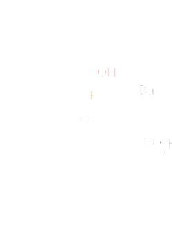 CC(C)(C)C(C(CCc1ccc2ccccc2c1)C(=O)O)P(=O)(O)Cc1ccccc1